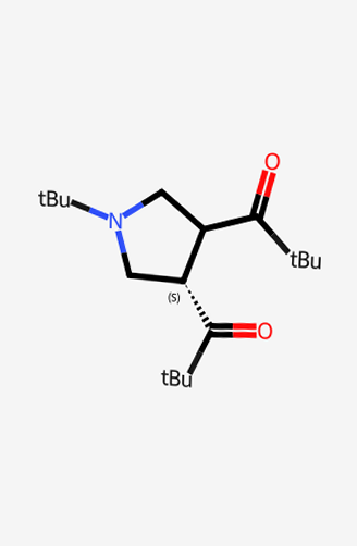 CC(C)(C)C(=O)C1CN(C(C)(C)C)C[C@H]1C(=O)C(C)(C)C